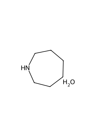 C1CCCNCC1.O